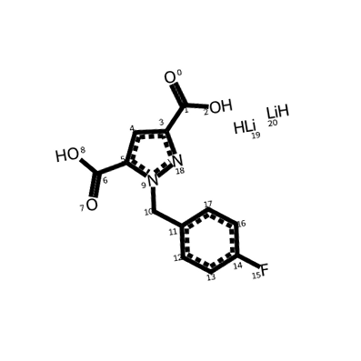 O=C(O)c1cc(C(=O)O)n(Cc2ccc(F)cc2)n1.[LiH].[LiH]